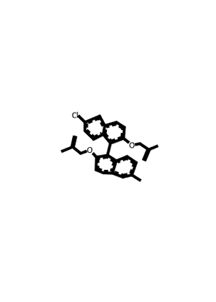 C=C(C)COc1ccc2cc(C)ccc2c1-c1c(OCC(=C)C)ccc2cc(Cl)ccc12